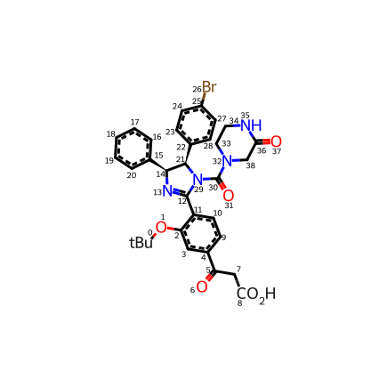 CC(C)(C)Oc1cc(C(=O)CC(=O)O)ccc1C1=N[C@@H](c2ccccc2)[C@@H](c2ccc(Br)cc2)N1C(=O)N1CCNC(=O)C1